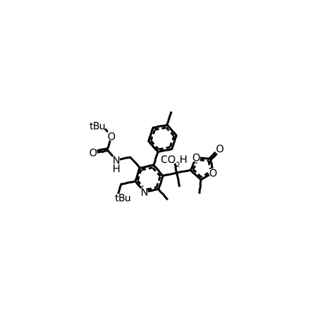 Cc1ccc(-c2c(CNC(=O)OC(C)(C)C)c(CC(C)(C)C)nc(C)c2C(C)(C(=O)O)c2oc(=O)oc2C)cc1